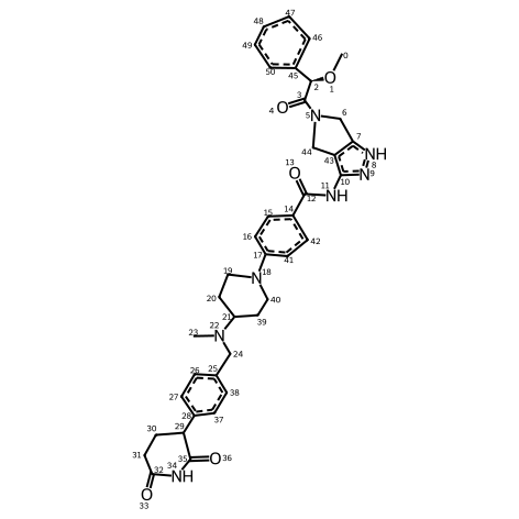 CO[C@@H](C(=O)N1Cc2[nH]nc(NC(=O)c3ccc(N4CCC(N(C)Cc5ccc(C6CCC(=O)NC6=O)cc5)CC4)cc3)c2C1)c1ccccc1